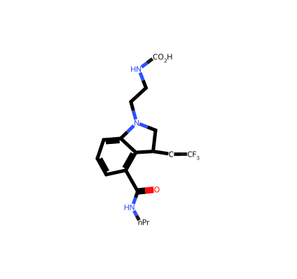 CCCNC(=O)c1cccc2c1C(CC(F)(F)F)CN2CCNC(=O)O